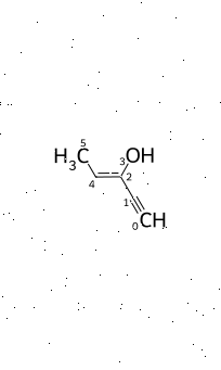 C#CC(O)=CC